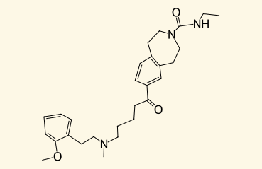 CCNC(=O)N1CCc2ccc(C(=O)CCCCN(C)CCc3ccccc3OC)cc2CC1